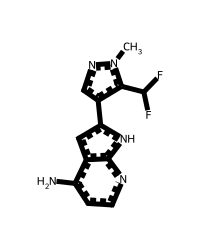 Cn1ncc(-c2cc3c(N)ccnc3[nH]2)c1C(F)F